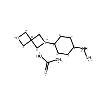 CC(=O)O.NNC1CCC(N2CC3(COC3)C2)CC1